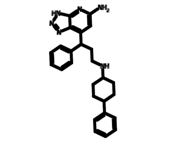 Nc1cc(C(CCNC2CCC(c3ccccc3)CC2)c2ccccc2)c2nn[nH]c2n1